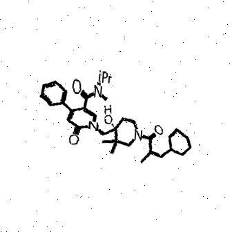 CC(CC1CCCCC1)C(=O)N1CC[C@](O)(Cn2cc(C(=O)N(C)C(C)C)c(-c3ccccc3)cc2=O)C(C)(C)C1